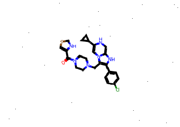 O=C(C1=CSCN1)N1CCN(CC2=C(c3ccc(Cl)cc3)NC3CNC(C4CC4)=CN23)CC1